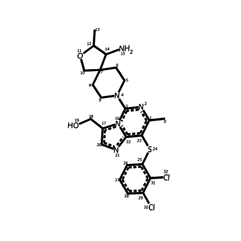 Cc1nc(N2CCC3(CC2)COC(C)C3N)n2c(CO)cnc2c1Sc1cccc(Cl)c1Cl